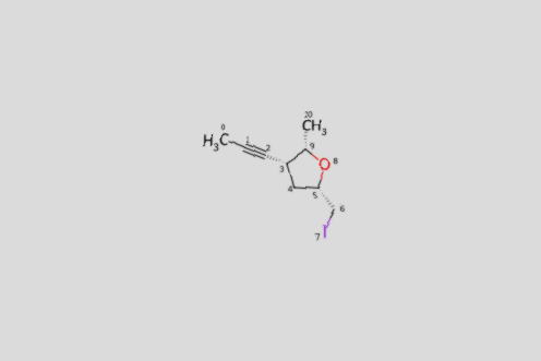 CC#C[C@H]1C[C@@H](CI)O[C@H]1C